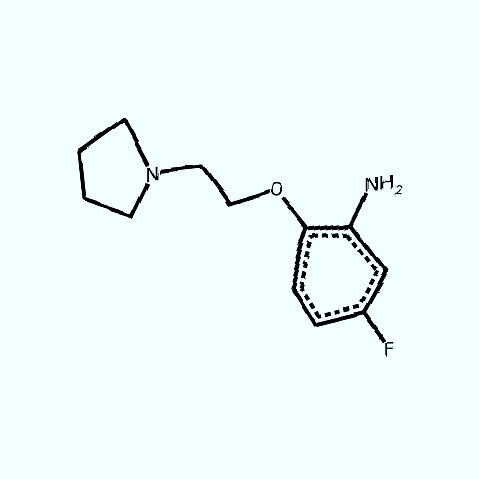 Nc1cc(F)ccc1OCCN1CCCC1